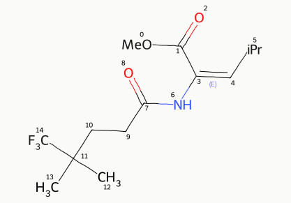 COC(=O)/C(=C\C(C)C)NC(=O)CCC(C)(C)C(F)(F)F